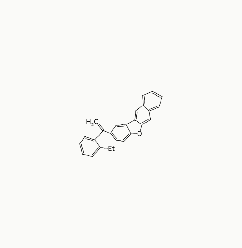 C=C(c1ccc2oc3cc4ccccc4cc3c2c1)c1ccccc1CC